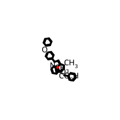 CC1=C\C(C(=O)O)=CC(C)/C(c2ccccc2OCc2ccccc2)=C/C(c2ccc(Oc3ccccc3)cc2)=N\1